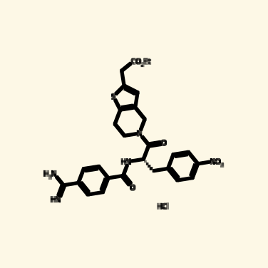 CCOC(=O)Cc1cc2c(s1)CCN(C(=O)[C@H](Cc1ccc([N+](=O)[O-])cc1)NC(=O)c1ccc(C(=N)N)cc1)C2.Cl